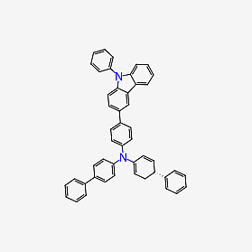 C1=C[C@H](c2ccccc2)CC=C1N(c1ccc(-c2ccccc2)cc1)c1ccc(-c2ccc3c(c2)c2ccccc2n3-c2ccccc2)cc1